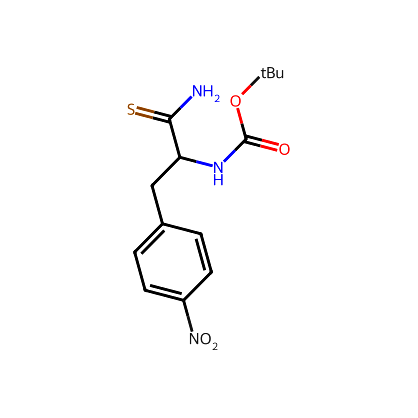 CC(C)(C)OC(=O)NC(Cc1ccc([N+](=O)[O-])cc1)C(N)=S